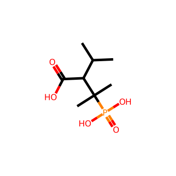 CC(C)C(C(=O)O)C(C)(C)P(=O)(O)O